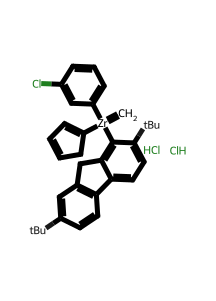 Cl.Cl.[CH2]=[Zr]([C]1=CC=CC1)([c]1cccc(Cl)c1)[c]1c(C(C)(C)C)ccc2c1Cc1cc(C(C)(C)C)ccc1-2